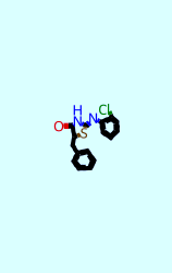 O=C1N/C(=N/c2ccccc2Cl)SC1Cc1ccccc1